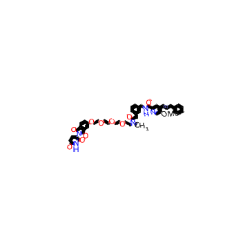 COc1cnc(C(=O)NCc2cccc(CC(=O)N(C)CCOCCOCCOCCOc3ccc4c(c3)C(=O)N(C3CCC(=O)NC3=O)C4=O)c2)cc1/C=C/Cc1ccccc1